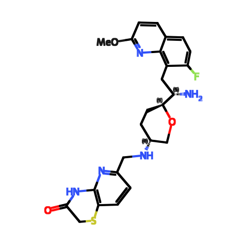 COc1ccc2ccc(F)c(C[C@H](N)[C@@H]3CC[C@@H](NCc4ccc5c(n4)NC(=O)CS5)CO3)c2n1